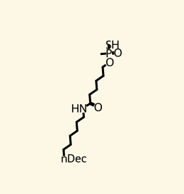 CCCCCCCCCCCCCCCCNC(=O)CCCCCOP(C)(=O)S